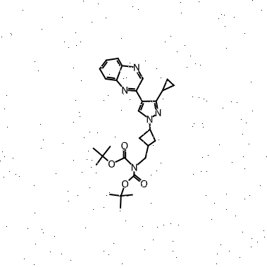 CC(C)(C)OC(=O)N(CC1CC(n2cc(-c3cnc4ccccc4n3)c(C3CC3)n2)C1)C(=O)OC(C)(C)C